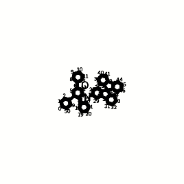 c1ccc(-c2cc3c4ccccc4oc3c3c2c2ccccc2n3-c2ccc3c(c2)-c2ccccc2C32c3ccccc3-c3ccccc32)cc1